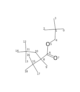 CC(C)(C)COC(=O)C(C)(CC(C)(C)C)C(C)(C)C